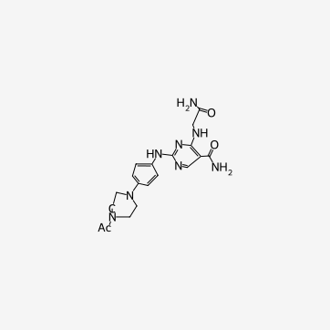 CC(=O)N1CCN(c2ccc(Nc3ncc(C(N)=O)c(NCC(N)=O)n3)cc2)CC1